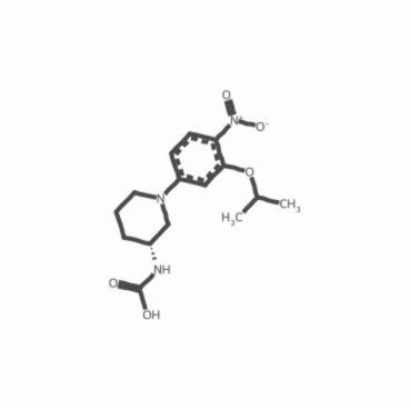 CC(C)Oc1cc(N2CCC[C@@H](NC(=O)O)C2)ccc1[N+](=O)[O-]